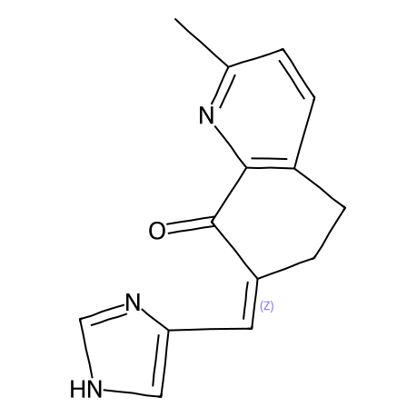 Cc1ccc2c(n1)C(=O)/C(=C\c1c[nH]cn1)CC2